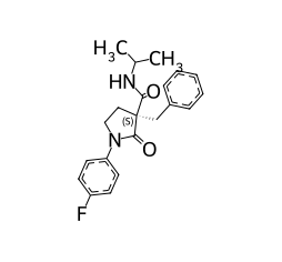 CC(C)NC(=O)[C@]1(Cc2ccccc2)CCN(c2ccc(F)cc2)C1=O